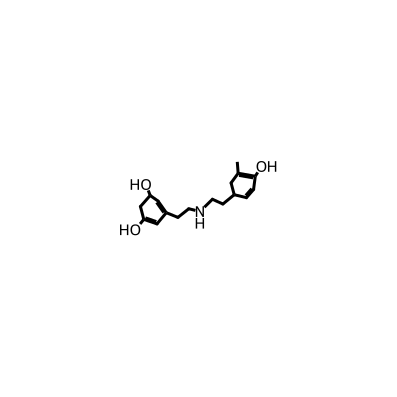 CC1=C(O)C=CC(CCNCCC2=CC(O)CC(O)=C2)C1